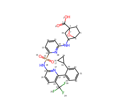 O=C(O)C12CCC(O1)C(Nc1cccc(S(=O)(=O)Nc3ccc(C(F)(F)F)c(-c4ccccc4C4CC4)n3)n1)C2